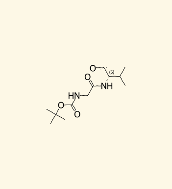 CC(C)[C@@H]([C]=O)NC(=O)CNC(=O)OC(C)(C)C